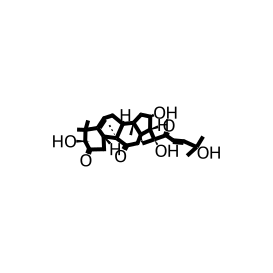 CC(C)(O)/C=C/C(=O)[C@@]1(O)C[C@]23CC(=O)[C@@]4(C)[C@@H]5CC(=O)[C@@H](O)C(C)(C)C5=CC[C@H]4[C@]2(C)C[C@@H](O)[C@@H]31